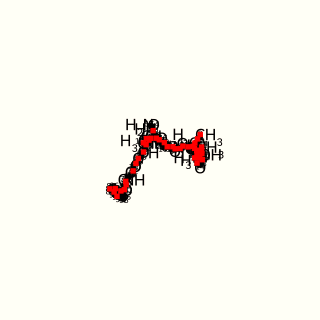 CCCC1O[C@@H]2C[C@H]3[C@@H]4CCC5=CC(=O)C=C[C@]5(C)[C@H]4[C@@H](O)C[C@]3(C)[C@]2(C(=O)COCNC(=O)CNC(=O)OCc2ccc(NC(=O)[C@H](CCCNC(N)=O)NC(=O)[C@@H](NC(=O)CCOCCOCCOCCOCCNC(=O)CCC(=O)N3Cc4ccccc4C#Cc4ccccc43)C(C)C)cc2)O1